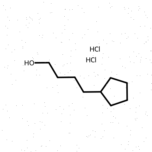 Cl.Cl.OCCCCC1CCCC1